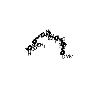 COc1ccc(COc2c(F)cc(C(=O)NC[C@H]3CC[C@H](c4noc(-c5ccnc(N6CCN(CCCc7ccc8c(c7)n(C)c(=O)n8C7CCC(=O)NC7=O)CC6)n5)n4)CC3)c(F)c2F)cc1